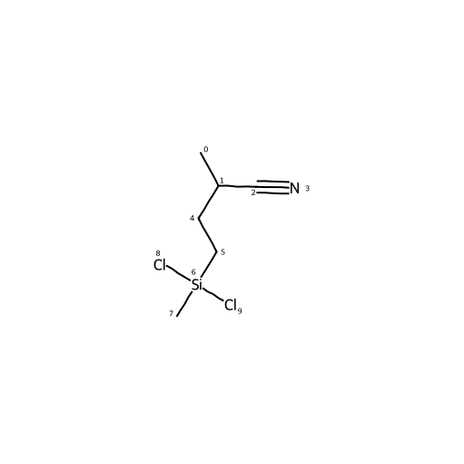 CC(C#N)CC[Si](C)(Cl)Cl